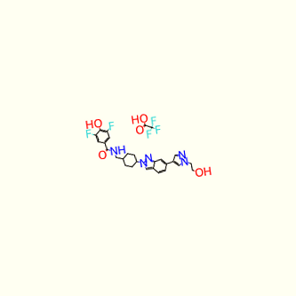 O=C(NCC1CCC(n2cc3ccc(-c4cnn(CCO)c4)cc3n2)CC1)c1cc(F)c(O)c(F)c1.O=C(O)C(F)(F)F